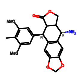 COc1cc([C@@H]2c3cc4c(cc3[C@@H](N)C3COC(=O)C32)OCO4)cc(OC)c1C